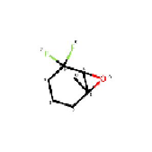 CC12CCCC(F)(F)C1O2